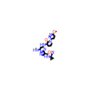 CNc1cc(Nc2cccn(-c3ccc(OC)nn3)c2=O)nc2c(C(=O)NC3(C#N)CC3)cnn12